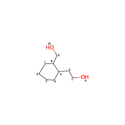 OCCC1CCCCC1CO